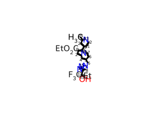 CCOC(=O)c1cc2cc(Cn3cc(C(O)(CC)C(F)(F)F)nn3)ccn2c1-c1ccnc(C)c1